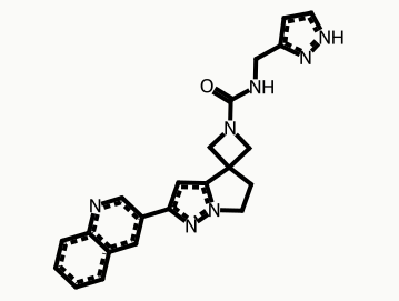 O=C(NCc1cc[nH]n1)N1CC2(CCn3nc(-c4cnc5ccccc5c4)cc32)C1